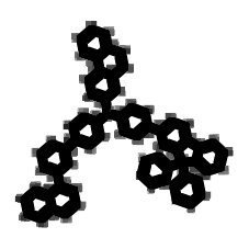 c1ccc(C2(c3ccccc3)c3ccccc3-c3ccc(-c4ccc(N(c5ccc(-c6cccc(-c7cccc8ccccc78)c6)cc5)c5ccc6c(ccc7ccccc76)c5)cc4)cc32)cc1